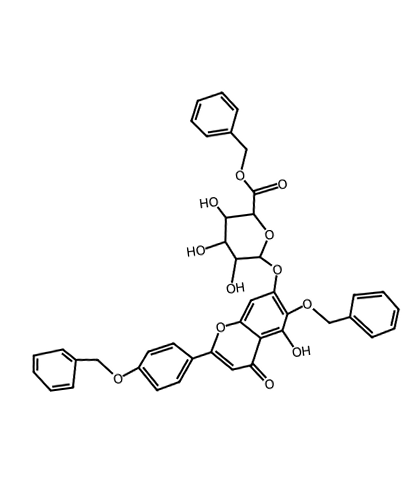 O=C(OCc1ccccc1)C1OC(Oc2cc3oc(-c4ccc(OCc5ccccc5)cc4)cc(=O)c3c(O)c2OCc2ccccc2)C(O)C(O)C1O